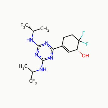 C[C@@H](Nc1nc(N[C@H](C)C(F)(F)F)nc(C2=C[C@@H](O)C(F)(F)CC2)n1)C(F)(F)F